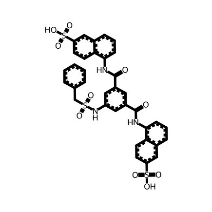 O=C(Nc1cccc2cc(S(=O)(=O)O)ccc12)c1cc(NS(=O)(=O)Cc2ccccc2)cc(C(=O)Nc2cccc3cc(S(=O)(=O)O)ccc23)c1